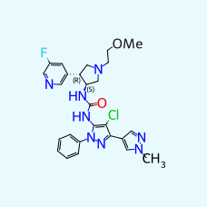 COCCN1C[C@@H](NC(=O)Nc2c(Cl)c(-c3cnn(C)c3)nn2-c2ccccc2)[C@H](c2cncc(F)c2)C1